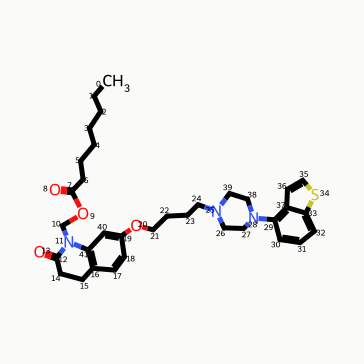 CCCCCCCC(=O)OCN1C(=O)CCc2ccc(OCCCCN3CCN(c4cccc5sccc45)CC3)cc21